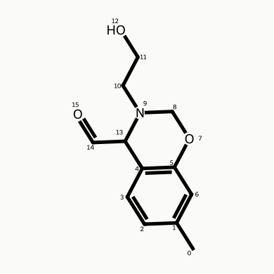 Cc1ccc2c(c1)OCN(CCO)C2C=O